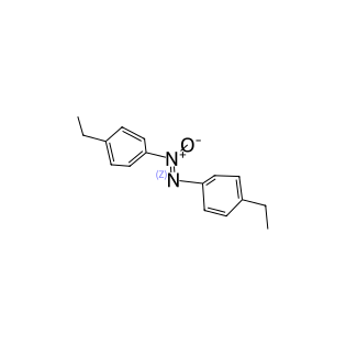 CCc1ccc(/N=[N+](\[O-])c2ccc(CC)cc2)cc1